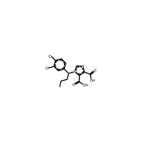 CCCC(c1ccc(Cl)c(Cl)c1)n1cnc(C(=O)O)c1C(=O)O